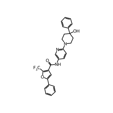 O=C(Nc1ccc(N2CCC(O)(c3ccccc3)CC2)nc1)c1cc(-c2ccccc2)oc1C(F)(F)F